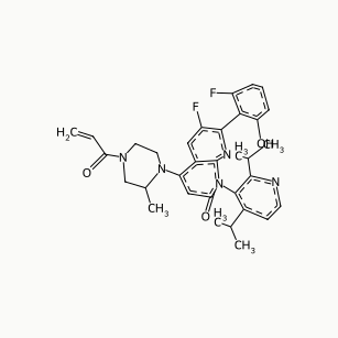 C=CC(=O)N1CCN(c2cc(=O)n(-c3c(C(C)C)ccnc3C(C)C)c3nc(-c4c(O)cccc4F)c(F)cc23)C(C)C1